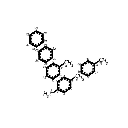 Cc1ccc(C)cc1.Cc1ccccc1.Cc1ccccc1.c1ccccc1.c1ccccc1